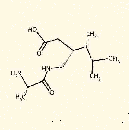 CC(C)[C@@H](C)[C@H](CNC(=O)[C@H](C)N)CC(=O)O